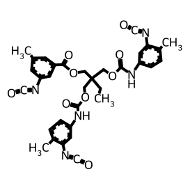 CCC(COC(=O)Nc1ccc(C)c(N=C=O)c1)(COC(=O)Nc1ccc(C)c(N=C=O)c1)COC(=O)c1cc(C)cc(N=C=O)c1